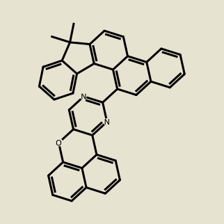 CC1(C)c2ccccc2-c2c1ccc1c2c(-c2ncc3c(n2)-c2cccc4cccc(c24)O3)cc2ccccc21